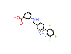 N[C@@H]1CC(CNc2cccc(C(=O)O)c2)=CC[C@H]1c1cc(F)c(F)cc1F